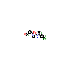 O=C(NC(c1ccc(C(F)(F)F)cc1F)C1CC1)[C@H]1CCCN1C(=O)c1cccc(C2(F)COC2)c1